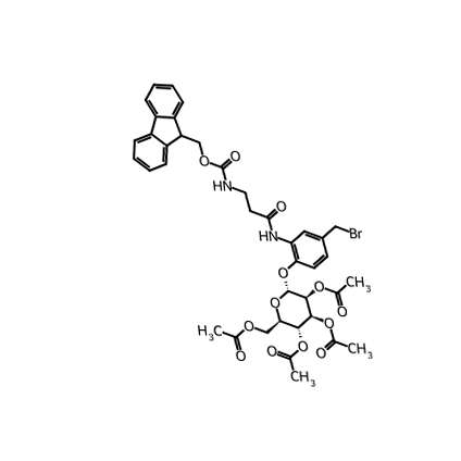 CC(=O)OC[C@H]1O[C@H](Oc2ccc(CBr)cc2NC(=O)CCNC(=O)OCC2c3ccccc3-c3ccccc32)[C@@H](OC(C)=O)[C@@H](OC(C)=O)[C@@H]1OC(C)=O